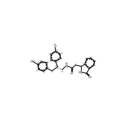 O=C(CC1NC(=O)c2ccccc21)NC[C@H](Cc1ccc(Cl)cc1)c1ccc(Cl)cc1